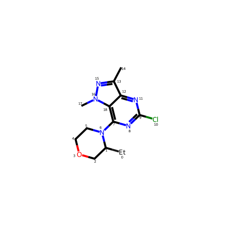 CCC1COCCN1c1nc(Cl)nc2c(C)nn(C)c12